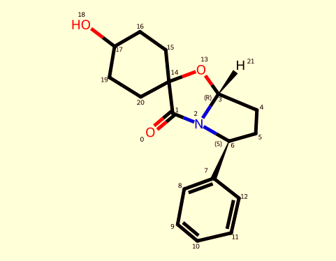 O=C1N2[C@@H](CC[C@H]2c2ccccc2)OC12CCC(O)CC2